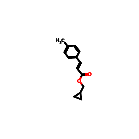 Cc1ccc(C=CC(=O)OCC2CC2)cc1